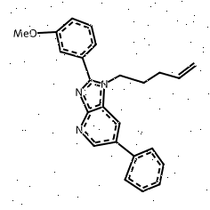 C=CCCCn1c(-c2cccc(OC)c2)nc2ncc(-c3ccccc3)cc21